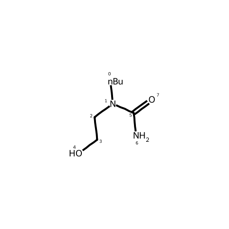 CCCCN(CCO)C(N)=O